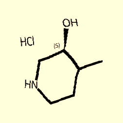 CC1CCNC[C@H]1O.Cl